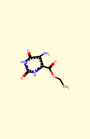 CCOC(=O)c1[nH]c(=O)[nH]c(=O)c1N